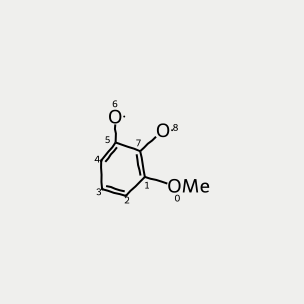 COc1cccc([O])c1[O]